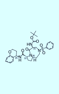 CC(C)(C)OC(=O)N[C@H]1CN(S(=O)(=O)c2ccccc2)CC[C@H]2CC[C@@H](C(=O)N[C@@H]3CCOc4ccccc43)N2C1=O